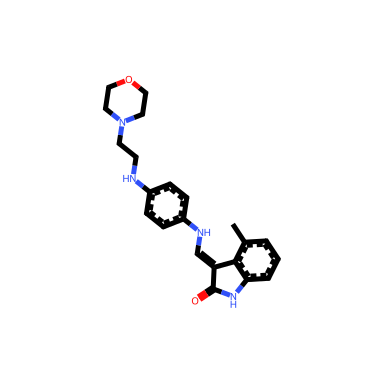 Cc1cccc2c1/C(=C\Nc1ccc(NCCN3CCOCC3)cc1)C(=O)N2